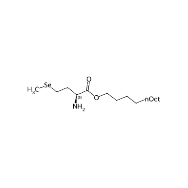 CCCCCCCCCCCCOC(=O)[C@@H](N)CC[Se]C